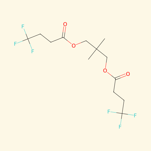 CC(C)(COC(=O)CCC(F)(F)F)COC(=O)CCC(F)(F)F